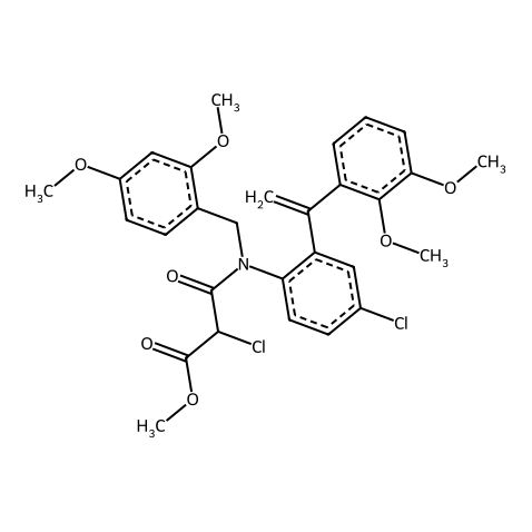 C=C(c1cc(Cl)ccc1N(Cc1ccc(OC)cc1OC)C(=O)C(Cl)C(=O)OC)c1cccc(OC)c1OC